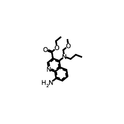 CCCN(COC)c1c(C(=O)OCC)cnc2c(N)cccc12